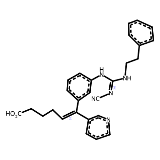 N#C/N=C(/NCCc1ccccc1)Nc1cccc(/C(=C\CCCC(=O)O)c2cccnc2)c1